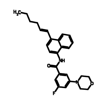 CCCCC=Cc1ccc(NC(=O)c2cc(F)cc(N3CCOCC3)c2)c2ccccc12